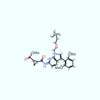 COC(=O)C1CC1C(=O)Nc1ccc2c(-c3c(OC)cccc3OC)cn(COCC[Si](C)(C)C)c2n1